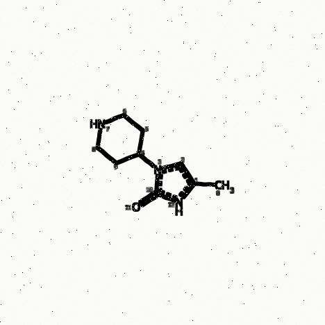 Cc1cn(C2CCNCC2)c(=O)[nH]1